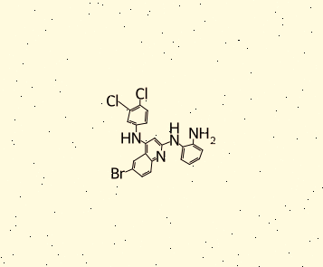 Nc1ccccc1Nc1cc(Nc2ccc(Cl)c(Cl)c2)c2cc(Br)ccc2n1